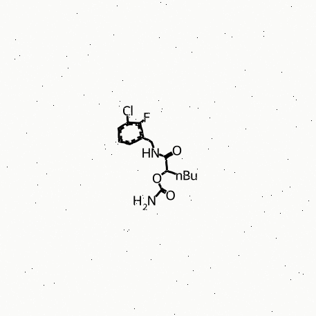 CCCCC(OC(N)=O)C(=O)NCc1cccc(Cl)c1F